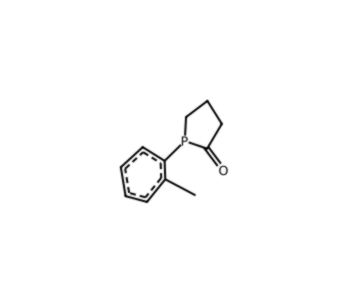 Cc1ccccc1P1CCCC1=O